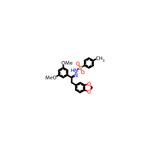 COc1cc(OC)cc(C(Cc2ccc3c(c2)OCO3)=NNS(=O)(=O)c2ccc(C)cc2)c1